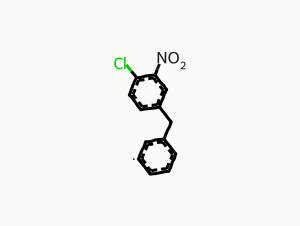 O=[N+]([O-])c1cc(Cc2c[c]ccc2)ccc1Cl